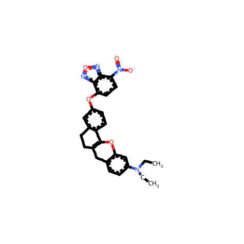 CCN(CC)c1ccc2c(c1)OC1=C(CCc3cc(Oc4ccc([N+](=O)[O-])c5nonc45)ccc31)C2